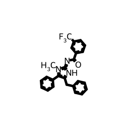 Cn1c(-c2ccccc2)c(Cc2ccccc2)[nH]/c1=N\C(=O)c1cccc(C(F)(F)F)c1